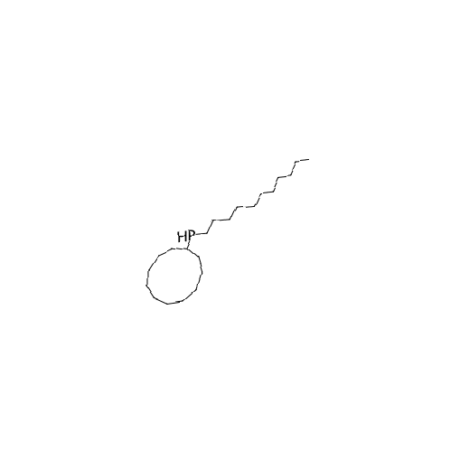 CCCCCCCCCCCPC1CCCCCCCCCC1